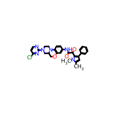 Cc1cc(-c2ccccc2)c(C(=O)C(=O)Nc2ccc3c(c2)OCC2CN(c4nccc(Cl)n4)CCN32)n1C